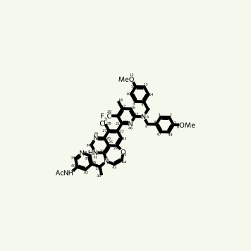 COc1ccc(CN(Cc2ccc(OC)cc2)c2cc(C)c(C(F)(F)F)c(-c3cc4c5c(c3Cl)=NCNC=5N(C(C)c3cncc(NC(C)=O)c3)C=CO4)n2)cc1